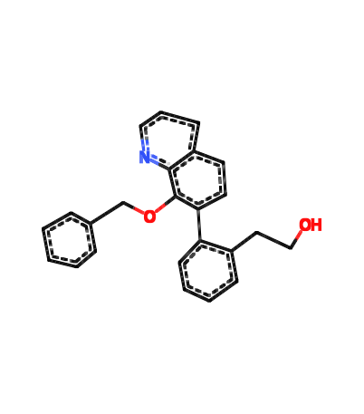 OCCc1ccccc1-c1ccc2cccnc2c1OCc1ccccc1